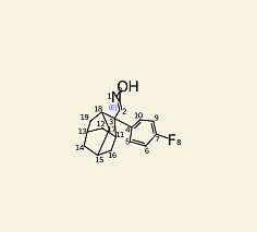 O/N=C/C1(c2ccc(F)cc2)C2CC3CC(C2)CC1C3